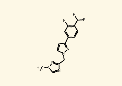 Cn1cnc(Cn2ccc(-c3ccc(C(F)F)c(F)c3)n2)n1